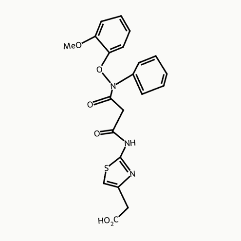 COc1ccccc1ON(C(=O)CC(=O)Nc1nc(CC(=O)O)cs1)c1ccccc1